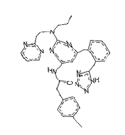 CCCN(Cc1ncccn1)c1nc(NC(=O)Cc2ccc(C)cc2)cc(-c2ccccc2-c2nnn[nH]2)n1